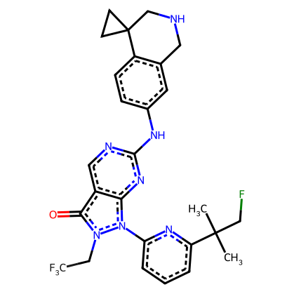 CC(C)(CF)c1cccc(-n2c3nc(Nc4ccc5c(c4)CNCC54CC4)ncc3c(=O)n2CC(F)(F)F)n1